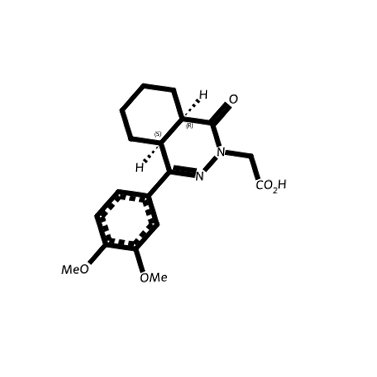 COc1ccc(C2=NN(CC(=O)O)C(=O)[C@@H]3CCCC[C@H]23)cc1OC